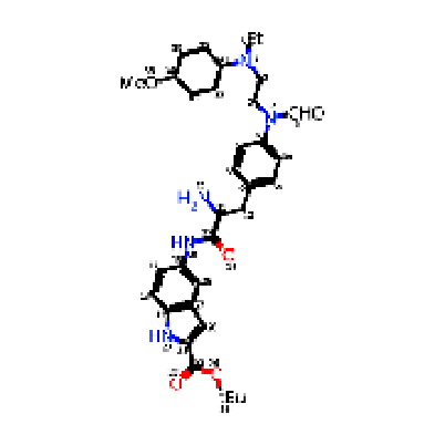 CCN(CCN(C=O)c1ccc(CC(N)C(=O)Nc2ccc3[nH]c(C(=O)OC(C)(C)C)cc3c2)cc1)C1CCC(OC)CC1